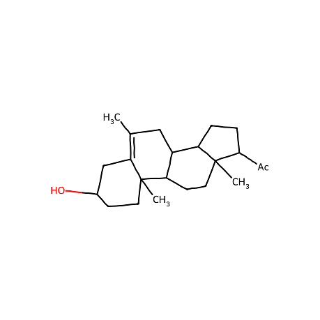 CC(=O)C1CCC2C3CC(C)=C4CC(O)CCC4(C)C3CCC12C